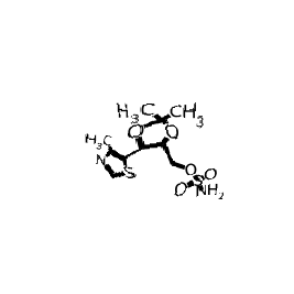 Cc1ncsc1[C@H]1OC(C)(C)OC1COS(N)(=O)=O